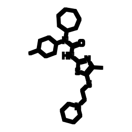 Cc1nc(NC(=O)N(C2CCCCCC2)C2CCC(C)CC2)sc1SCCN1CCCCC1